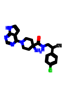 N#CC(CNC(=O)C1(N)CCN(c2ncnc3[nH]ccc23)CC1)c1ccc(Cl)cc1